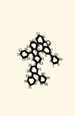 c1ccc(-c2cc(-c3c4ccccc4c(-c4ccccc4)c4cc(-c5ccc(-c6ccccc6)c(-c6ccccc6)c5)ccc34)c3c(c2)oc2ccccc23)cc1